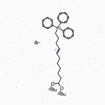 CCCCOC(CCCCC/C=C/CCC[P+](c1ccccc1)(c1ccccc1)c1ccccc1)OCCCC.[Br-]